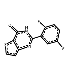 O=c1[nH]c(-c2cc(F)ccc2F)nc2ccsc12